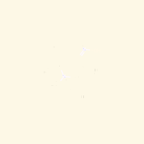 CCC1(C)C/C(=N/O)C(C)C(C)(CC)N1C